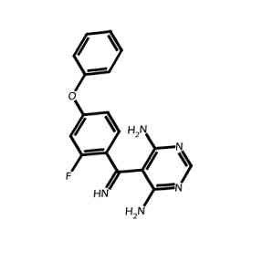 N=C(c1ccc(Oc2ccccc2)cc1F)c1c(N)ncnc1N